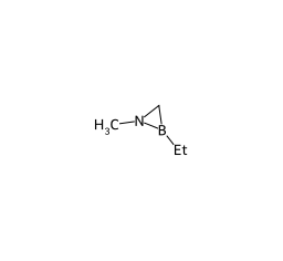 CCB1CN1C